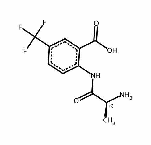 C[C@H](N)C(=O)Nc1ccc(C(F)(F)F)cc1C(=O)O